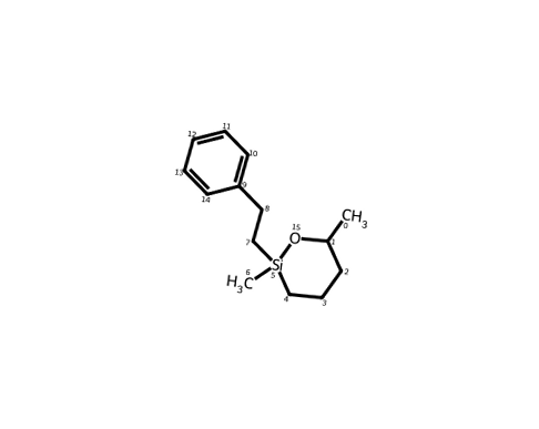 CC1CCC[Si](C)(CCc2ccccc2)O1